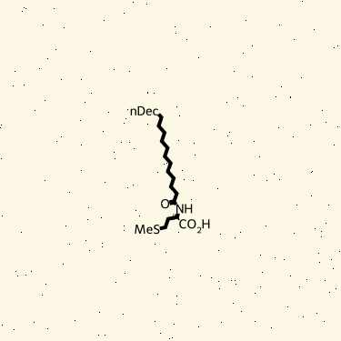 CCCCCCCCCCCCCCCCCCCCCC(=O)N[C@@H](CCSC)C(=O)O